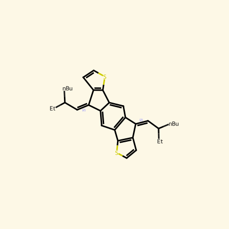 CCCCC(/C=C1/c2cc3c(cc2-c2sccc21)/C(=C/C(CC)CCCC)c1ccsc1-3)CC